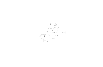 CN1CCC(c2c(O)cc(O)c3c(=O)cc(-c4cccs4)oc23)C1CO